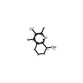 Cc1nc2c(c(C)c1Cl)CCCC2O